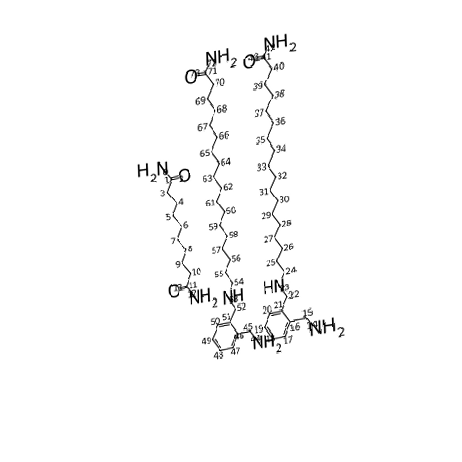 NC(=O)CCCCCCCCC(N)=O.NCc1ccccc1CNCCCCCCCCCCCCCCCCCC(N)=O.NCc1ccccc1CNCCCCCCCCCCCCCCCCCC(N)=O